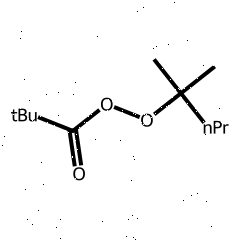 CCCC(C)(C)OOC(=O)C(C)(C)C